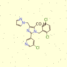 O=C(O)c1c(Cn2cccn2)nc(-c2cncc(Cl)c2)n1Cc1cc(Cl)ccc1Cl